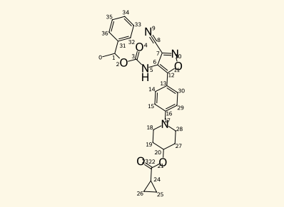 CC(OC(=O)Nc1c(C#N)noc1-c1ccc(N2CCC(OC(=O)C3CC3)CC2)cc1)c1ccccc1